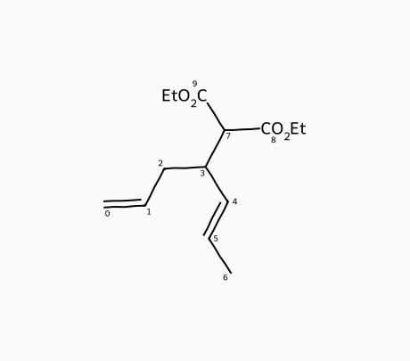 C=CCC(C=CC)C(C(=O)OCC)C(=O)OCC